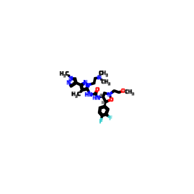 COCCN1C[C@@H](NC(=O)Nc2c(C)c(-c3cnn(C)c3)nn2CCN(C)C)[C@H](c2ccc(F)c(F)c2)O1